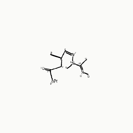 CCCC(=O)CC(C)/C=N\N(C)/C(C)=N/C